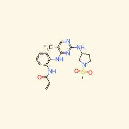 C=CC(=O)Nc1ccccc1Nc1nc(NC2CCN(S(C)(=O)=O)C2)ncc1C(F)(F)F